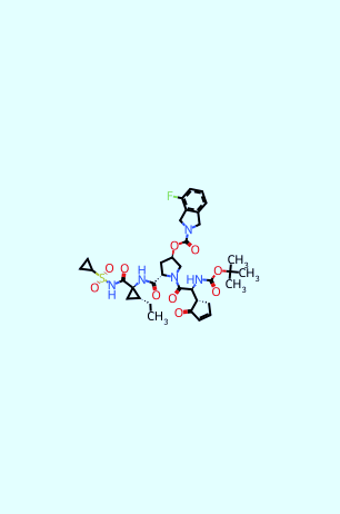 CC[C@@H]1C[C@]1(NC(=O)[C@@H]1C[C@@H](OC(=O)N2Cc3cccc(F)c3C2)CN1C(=O)[C@@H](NC(=O)OC(C)(C)C)[C@@H]1CC=CC1=O)C(=O)NS(=O)(=O)C1CC1